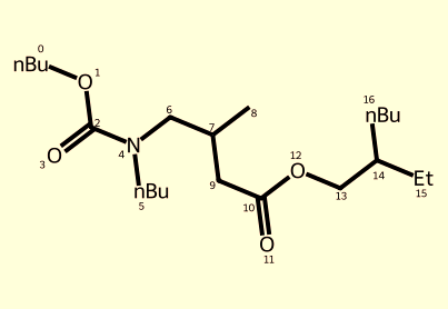 CCCCOC(=O)N(CCCC)CC(C)CC(=O)OCC(CC)CCCC